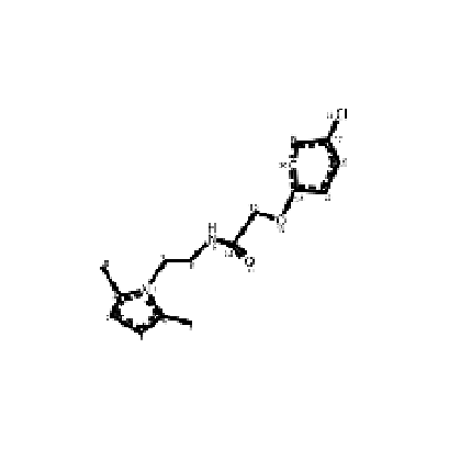 Cc1ccc(C)n1CCNC(=O)COc1ccc(Cl)cc1